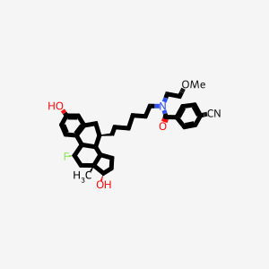 COCCN(CCCCCC[C@@H]1Cc2cc(O)ccc2C2C1C1CC[C@H](O)[C@@]1(C)C[C@@H]2F)C(=O)c1ccc(C#N)cc1